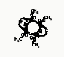 CCOC(=O)Cc1c2cc3cc1C1CCC1c1cc(cc(c1CC(=O)OCC)Cc1cc4cc(c1CC(=O)OCC)C1CCC1c1cc(cc(c1CC(=O)OCC)C2)CCCCC4)CCCCC3